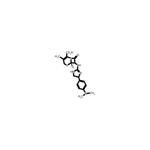 CC1=C(C(=O)O)N2C(=O)C(NC3=NC(c4ccc(N(C)C)cc4)CN3)[C@@H]2SC1